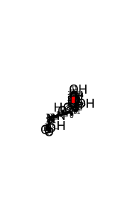 CC(CCC(=O)NCCC[N+](C)(C)CCCS(=O)(=O)[O-])[C@H]1CC[C@H]2[C@@H]3[C@H](O)C[C@@H]4C[C@H](O)CC[C@]4(C)[C@H]3C[C@H](O)[C@]12C